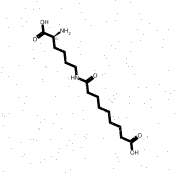 N[C@@H](CCCCNC(=O)CCCCCCCC(=O)O)C(=O)O